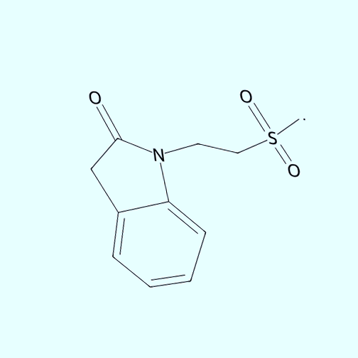 [CH2]S(=O)(=O)CCN1C(=O)Cc2ccccc21